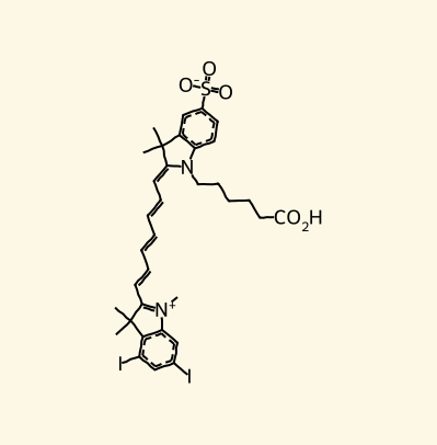 C[N+]1=C(C=CC=CC=CC=C2N(CCCCCC(=O)O)c3ccc(S(=O)(=O)[O-])cc3C2(C)C)C(C)(C)c2c(I)cc(I)cc21